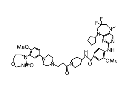 COc1cc(C(=O)NC2CCN(C(=O)CCN3CCN(c4ccc(OC)c(N5CCCOCNC5=O)c4)CC3)CC2)ccc1Nc1ncc2c(n1)N(C1CCCC1)CC(F)(F)CN2C